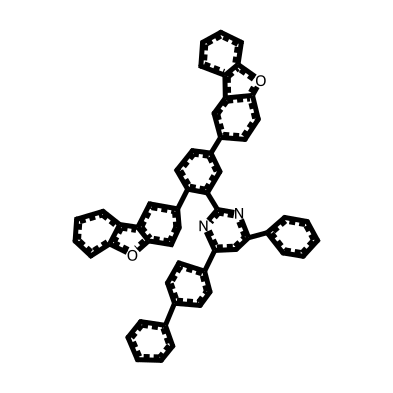 c1ccc(-c2ccc(-c3cc(-c4ccccc4)nc(-c4cc(-c5ccc6oc7ccccc7c6c5)ccc4-c4ccc5oc6ccccc6c5c4)n3)cc2)cc1